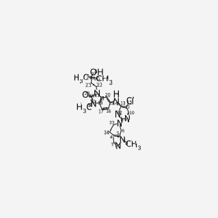 Cn1ncc2c1CN(c1ncc(Cl)c(Nc3ccc4c(c3)n(CCC(C)(C)O)c(=O)n4C)n1)CC2